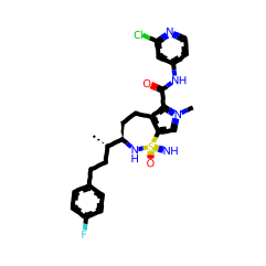 C[C@@H](CCc1ccc(F)cc1)[C@H]1CCc2c(cn(C)c2C(=O)Nc2ccnc(Cl)c2)S(=N)(=O)N1